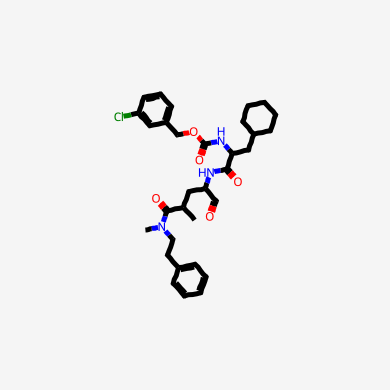 CC(CC(C=O)NC(=O)C(CC1CCCCC1)NC(=O)OCc1cccc(Cl)c1)C(=O)N(C)CCc1ccccc1